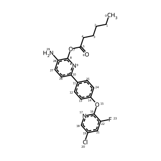 CCCCCC(=O)Oc1nc(-c2ccc(Oc3ncc(Cl)cc3F)cc2)ccc1N